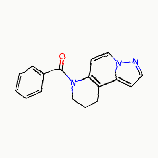 O=C(c1ccccc1)N1CCCc2c1ccn1nccc21